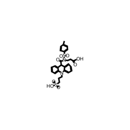 Cc1ccc(S(=O)(=O)N(CCC(=O)O)C(=O)C2c3ccccc3N(CCCS(=O)(=O)O)c3ccccc32)cc1